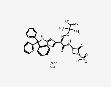 CC(C)(ON=C(C(=O)NC1CN(S(=O)(=O)[O-])C1=O)c1csc(NC(c2ccccc2)(c2ccccc2)c2ccccc2)n1)C(=O)[O-].[Na+].[Na+]